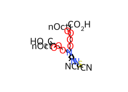 CCCCCCCCC(CC(=O)OCCOCCOCCN(CCOCCOC(=O)CC(CCCCCCCC)C(=O)O)c1ccc(/N=N/c2sc(C#N)c(C)c2C#N)c(C)c1)C(=O)O